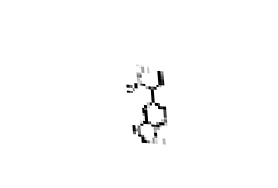 C=CC(c1ccc2[nH]cnc2c1)[N+](=O)O